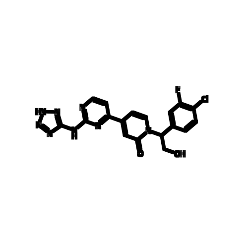 O=c1cc(-c2ccnc(Nc3nn[nH]n3)n2)ccn1C(CO)c1ccc(Cl)c(F)c1